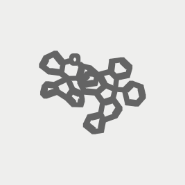 c1ccc(C2(c3ccccc3-c3ccc4c(c3)Oc3ccccc3C43c4ccccc4-c4ccccc43)c3ccccc3-c3c2ccc2ccccc32)cc1